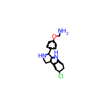 NCOc1ccc(C2NCCc3c2[nH]c2c3=CC(Cl)CC=2)cc1